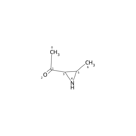 CC(=O)C1NC1C